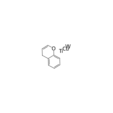 C1=COc2ccccc2C1.[Cu].[Ti].[W]